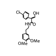 COc1ccc(CCNC(=O)C(=CO)c2ccc(Cl)cc2)cc1OC